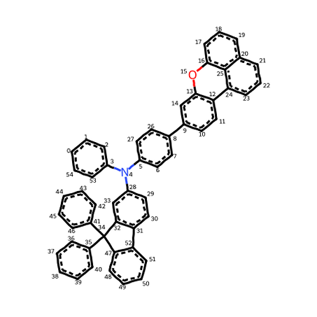 c1ccc(N(c2ccc(-c3ccc4c(c3)Oc3cccc5cccc-4c35)cc2)c2ccc3c(c2)C(c2ccccc2)(c2ccccc2)c2ccccc2-3)cc1